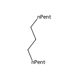 CCCC[CH]CCCCCCCC